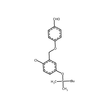 CC(C)(C)[Si](C)(C)Oc1ccc(Cl)c(COc2ccc(C=O)cc2)c1